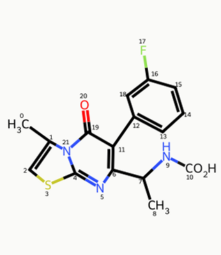 Cc1csc2nc(C(C)NC(=O)O)c(-c3cccc(F)c3)c(=O)n12